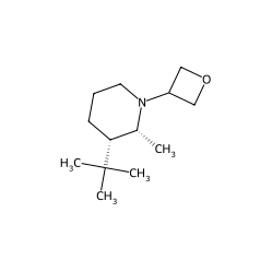 C[C@@H]1[C@H](C(C)(C)C)CCCN1C1COC1